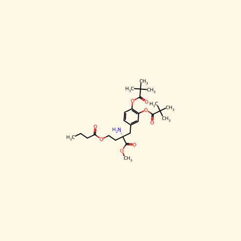 CCCC(=O)OCC[C@@](N)(Cc1ccc(OC(=O)C(C)(C)C)c(OC(=O)C(C)(C)C)c1)C(=O)OC